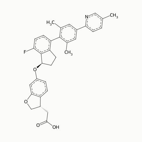 Cc1ccc(-c2cc(C)c(-c3ccc(F)c4c3CC[C@H]4Oc3ccc4c(c3)OC[C@H]4CC(=O)O)c(C)c2)nc1